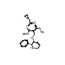 COc1nc(C2CC2)nc(OC(C)C)c1CN[C@H]1CCCN[C@H]1c1ccccc1